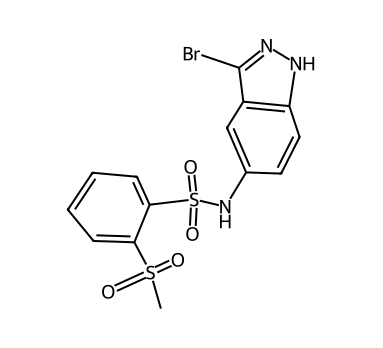 CS(=O)(=O)c1ccccc1S(=O)(=O)Nc1ccc2[nH]nc(Br)c2c1